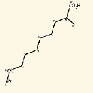 CC(C)NCCCCCCC(C)C(=O)O